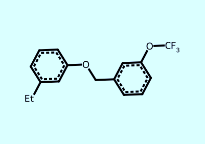 CCc1cccc(OCc2cccc(OC(F)(F)F)c2)c1